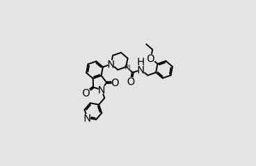 CCOc1ccccc1CNC(=O)[C@@H]1CCCN(c2cccc3c2C(=O)N(Cc2ccncc2)C3=O)C1